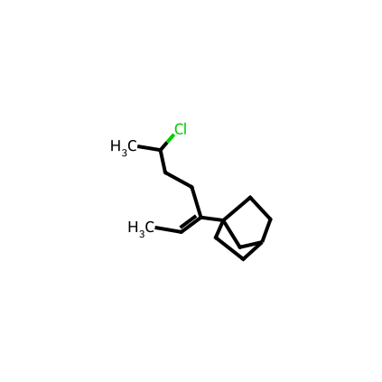 CC=C(CCC(C)Cl)C12CCC(CC1)C2